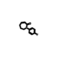 O=C1C=CCCCN1c1ccc(F)cc1